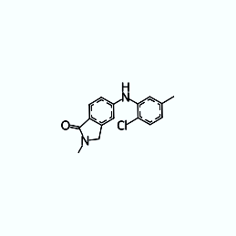 Cc1ccc(Cl)c(Nc2ccc3c(c2)CN(C)C3=O)c1